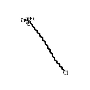 CCO[Si](CCCCCCCCCCCCCCCCCCCCCCCCCCCCCCl)(OCC)OCC